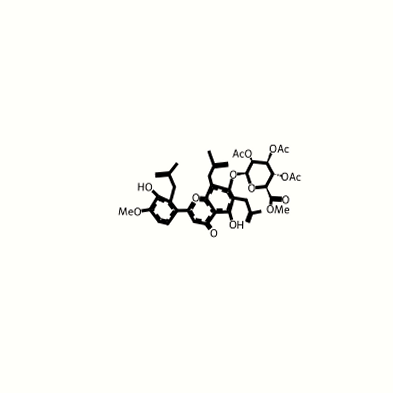 C=C(C)Cc1c(-c2cc(=O)c3c(O)c(CC(=C)C)c(O[C@@H]4O[C@H](C(=O)OC)[C@@H](OC(C)=O)[C@H](OC(C)=O)[C@H]4OC(C)=O)c(CC(=C)C)c3o2)ccc(OC)c1O